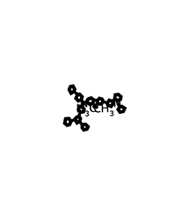 CC1(C)c2cc(-c3ccc4c(c3)c3ccccc3n4-c3ccccc3)ccc2-c2ccc(N(c3ccc(-c4ccccc4)cc3)c3ccc(-c4cc(-c5ccccc5)cc(-c5ccccc5)c4)cc3)cc21